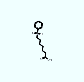 O=C(O)CCCCCCS(=O)(=O)c1ccccc1